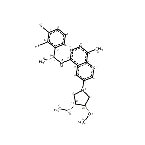 CO[C@H]1CN(c2cnc3c(C)nnc(N[C@H](C)c4cccc(F)c4F)c3c2)C[C@H]1OC